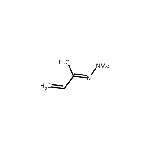 C=C/C(C)=N/NC